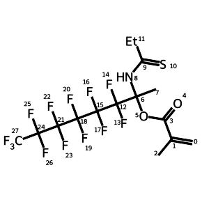 C=C(C)C(=O)OC(C)(NC(=S)CC)C(F)(F)C(F)(F)C(F)(F)C(F)(F)C(F)(F)C(F)(F)F